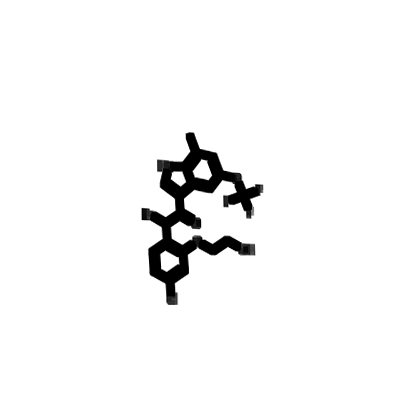 Cc1cc(OC(F)(F)F)cc2c(C(=O)C(Br)c3ccc(Cl)cc3OCCO)c[nH]c12